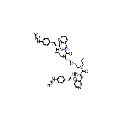 CCCN(CCOCCN(CCC)C(=O)/C(=C/c1cccnc1)NC(=O)/C=C/c1ccc(N=[N+]=[N-])cc1)C(=O)/C(=C/c1cccnc1)NC(=O)/C=C/c1ccc(N=[N+]=[N-])cc1